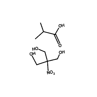 CC(C)C(=O)O.O=[N+]([O-])C(CO)(CO)CO